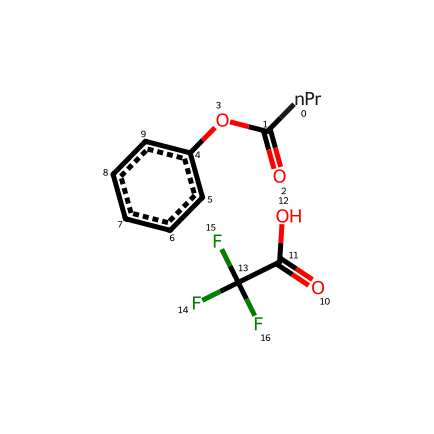 CCCC(=O)Oc1ccccc1.O=C(O)C(F)(F)F